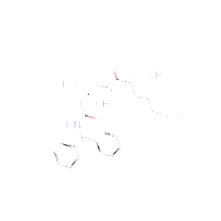 CCCCCCCCCCCCCC(C(=O)O)C(=O)NCC(C)(C)CC(=O)NC(c1ccccc1)c1ccccc1